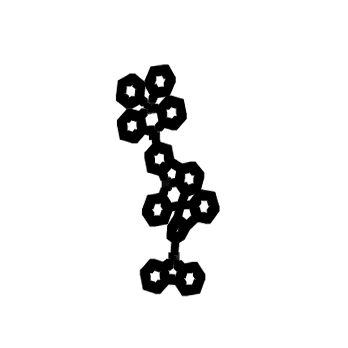 c1ccc([Si]2(c3ccccc3)c3ccccc3N(c3ccc4c(c3)-c3cccc5c3B4c3ccccc3C53c4ccccc4-c4cc(-n5c6ccccc6c6ccccc65)ccc43)c3ccccc32)cc1